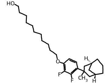 CC1(c2ccc(OCCCCCCCCCCCO)c(F)c2F)C[C@H]2CCC[C@@H](C2)C1